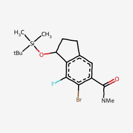 CNC(=O)c1cc2c(c(F)c1Br)C(O[Si](C)(C)C(C)(C)C)CC2